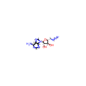 [N-]=[N+]=NC[C@H]1O[C@@H](n2cnc3c(N)ncnc32)[C@@H](O)C1O